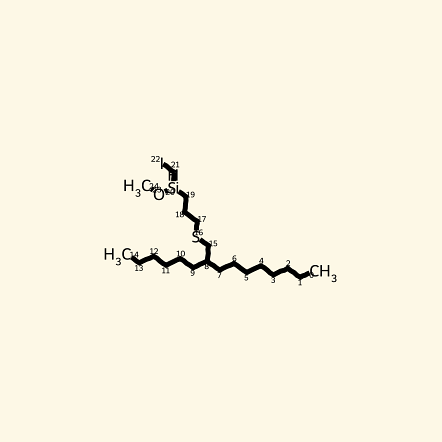 CCCCCCCCC(CCCCCC)CSCCC[SiH](CI)OC